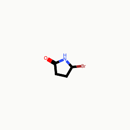 O=C1CCC(Br)N1